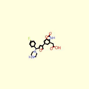 O=C(O)Cc1cc(-c2coc(C(c3ccc(F)cc3)N3CCNCC3)c2)cc2oc(=O)[nH]c12